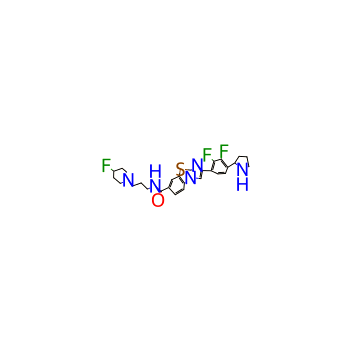 O=C(NCCCN1CCC(F)CC1)c1ccc2c(c1)sc1nc(-c3ccc(C4CCCN4)c(F)c3F)cn12